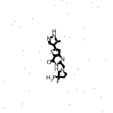 CC1NN=CC1c1cc2nc(CN3CCC(F)(P)C3)[nH]c(=O)c2s1